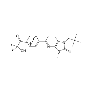 Cn1c(=O)n(CC(C)(C)C)c2ccc(C3=CC4CCC3CN4C(=O)C3(O)CC3)nc21